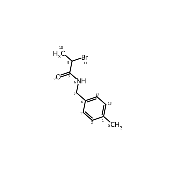 Cc1ccc(CNC(=O)C(C)Br)cc1